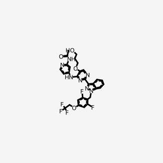 CC(=O)Nc1cc(Nc2nc(-c3nn(Cc4c(F)cc(OCC(F)(F)F)cc4F)c4ccccc34)ncc2OCCCO)ccn1